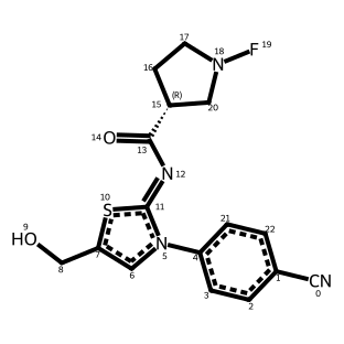 N#Cc1ccc(-n2cc(CO)sc2=NC(=O)[C@@H]2CCN(F)C2)cc1